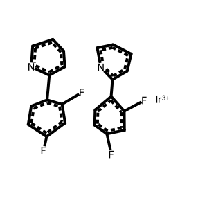 Fc1ccc(-c2ccccn2)c(F)c1.Fc1ccc(-c2ccccn2)c(F)c1.[Ir+3]